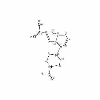 CC(=O)N1CCN(c2cccc3sc(C(=O)O)cc23)CC1